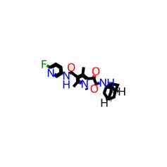 Cc1c(C(=O)Nc2ccc(F)nc2)c(C)n(C)c1C(=O)C(=O)NC12C[C@@H]3CC1C[C@@H](C3)C2